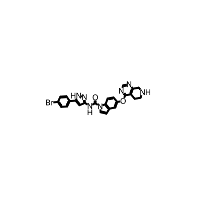 O=C(Nc1cc(-c2ccc(Br)cc2)[nH]n1)n1ccc2cc(Oc3ncnc4c3CCNC4)ccc21